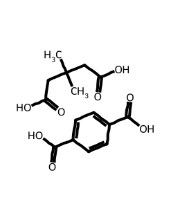 CC(C)(CC(=O)O)CC(=O)O.O=C(O)c1ccc(C(=O)O)cc1